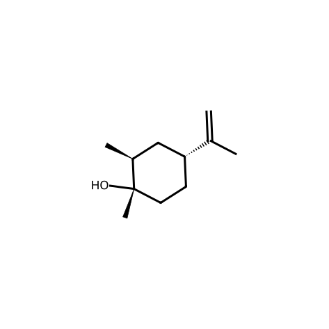 C=C(C)[C@@H]1CC[C@](C)(O)[C@@H](C)C1